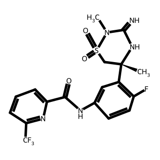 CN1C(=N)N[C@](C)(c2cc(NC(=O)c3cccc(C(F)(F)F)n3)ccc2F)CS1(=O)=O